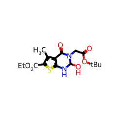 CCOC(=O)c1sc2c(c1C)C(=O)N(CC(=O)OC(C)(C)C)C(O)N2